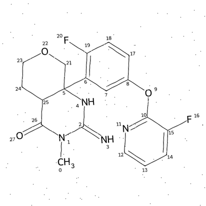 CN1C(=N)NC2(c3cc(Oc4ncccc4F)ccc3F)COCCC2C1=O